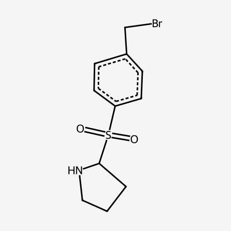 O=S(=O)(c1ccc(CBr)cc1)C1CCCN1